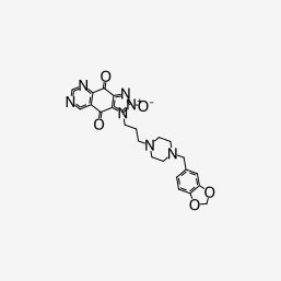 O=C1c2ncncc2C(=O)c2c1n[n+]([O-])n2CCCN1CCN(Cc2ccc3c(c2)OCO3)CC1